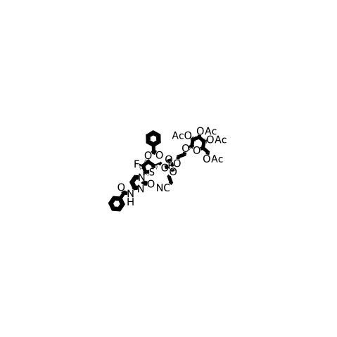 CC(=O)OCC1O[C@@H](OCCOP(=O)(OCCC#N)OC[C@H]2S[C@@H](n3ccc(NC(=O)c4ccccc4)nc3=O)[C@@H](F)[C@@H]2OC(=O)c2ccccc2)[C@@H](OC(C)=O)C(OC(C)=O)[C@@H]1OC(C)=O